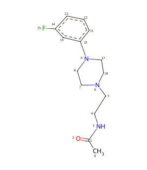 CC(=O)NCCN1CCN(c2cccc(F)c2)CC1